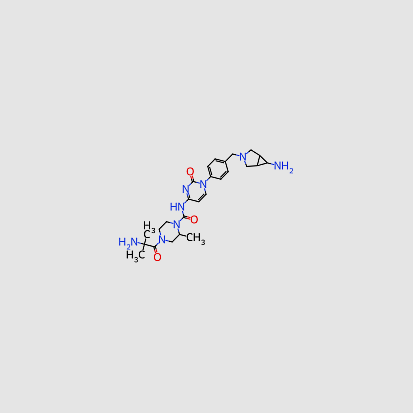 CC1CN(C(=O)C(C)(C)N)CCN1C(=O)Nc1ccn(-c2ccc(CN3CC4C(N)C4C3)cc2)c(=O)n1